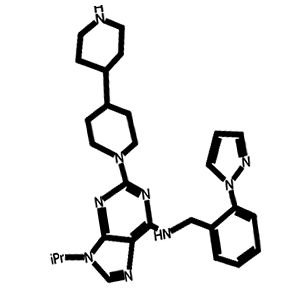 CC(C)n1cnc2c(NCc3ccccc3-n3cccn3)nc(N3CCC(C4CCNCC4)CC3)nc21